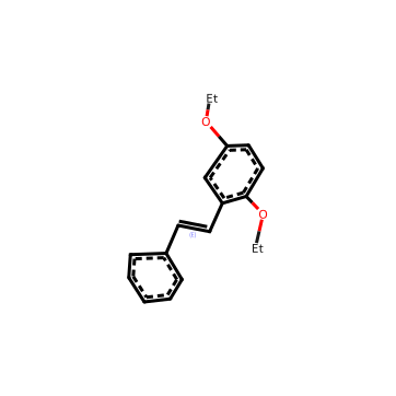 CCOc1ccc(OCC)c(/C=C/c2ccccc2)c1